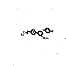 CCOCCC12CCC(c3cc(OC)cc(Oc4ccc(F)cc4)c3)(CC1)OC2